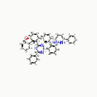 C1=C(c2ccccc2)NNC(c2ccc(-c3ccc4oc5ccccc5c4c3-c3nc(-c4ccccc4)nc(-c4ccccc4)n3)cc2)=C1